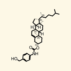 CC(C)CCC[C@@H](C)[C@H]1CC[C@H]2[C@@H]3CC=C4C[C@@H](OC(=O)Nc5ccc(CO)cc5)CC[C@]4(C)[C@H]3CC[C@]12C